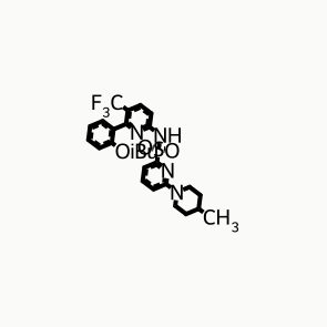 CC(C)COc1ccccc1-c1nc(NS(=O)(=O)c2cccc(N3CCC(C)CC3)n2)ccc1C(F)(F)F